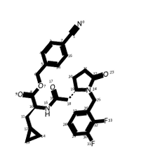 N#Cc1ccc(COC(=O)[C@H](CC2CC2)NC(=O)C[C@@H]2CCC(=O)N2Cc2cccc(F)c2F)cc1